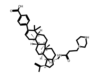 C=C(C)[C@@H]1CC[C@]2(CNC(=O)CCN3CCNCC3)CC[C@]3(C)[C@H](CC[C@@H]4[C@@]5(C)CC=C(c6ccc(C(=O)O)cc6)C(C)(C)[C@@H]5CC[C@]43C)[C@@H]12